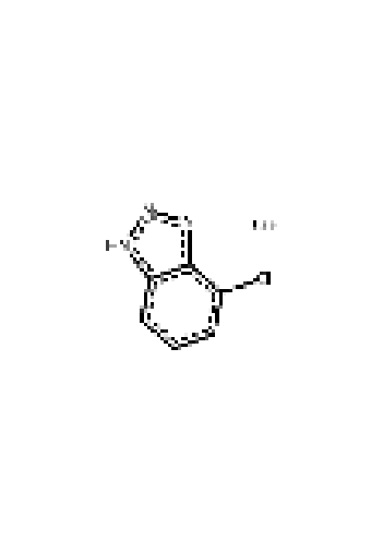 Clc1cccc2[nH]nnc12.[Cu]